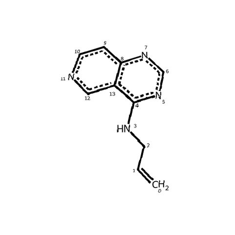 C=CCNc1ncnc2ccncc12